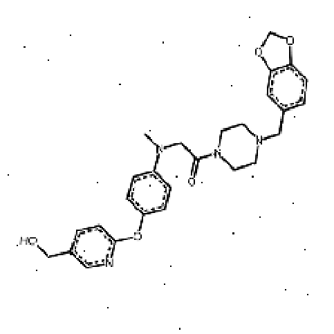 CN(CC(=O)N1CCN(Cc2ccc3c(c2)OCO3)CC1)c1ccc(Oc2ccc(CO)cn2)cc1